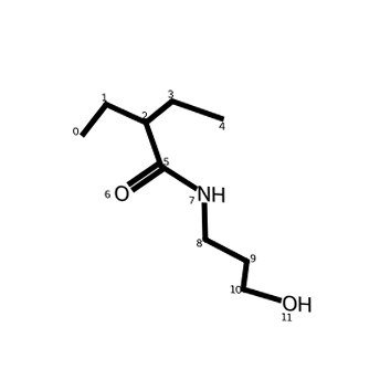 CCC(CC)C(=O)NCCCO